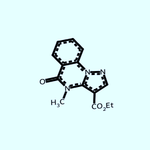 CCOC(=O)c1cnn2c3ccccc3c(=O)n(C)c12